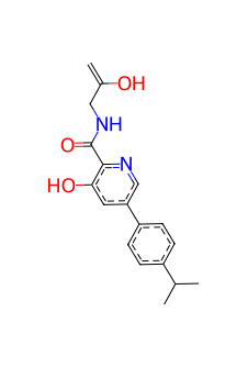 C=C(O)CNC(=O)c1ncc(-c2ccc(C(C)C)cc2)cc1O